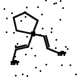 CCCC=C[Si]1(C=CCCC)CCCC1